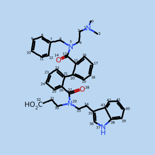 CN(C)CCN(Cc1ccccc1)C(=O)c1ccccc1-c1ccccc1C(=O)N(CCC(=O)O)CCc1c[nH]c2ccccc12